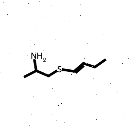 CCC=CSCC(C)N